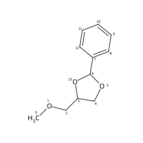 COCC1COC(c2ccccc2)O1